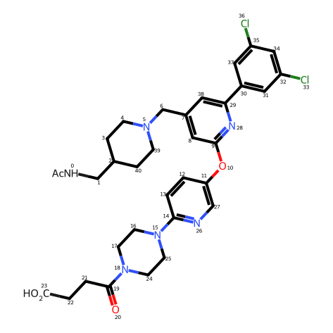 CC(=O)NCC1CCN(Cc2cc(Oc3ccc(N4CCN(C(=O)CCC(=O)O)CC4)nc3)nc(-c3cc(Cl)cc(Cl)c3)c2)CC1